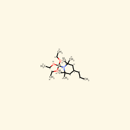 CCCC1CC(C)(C)N([Si](OCC)(OCC)OCC)C(C)(C)C1